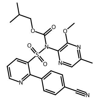 COc1nc(C)cnc1N(C(=O)OCC(C)C)S(=O)(=O)c1cccnc1-c1ccc(C#N)cc1